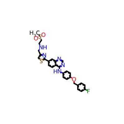 CS(=O)(=O)CCNCc1csc(-c2ccc3c(Nc4ccc(OCc5ccc(F)cc5)cc4)ncnc3c2)n1